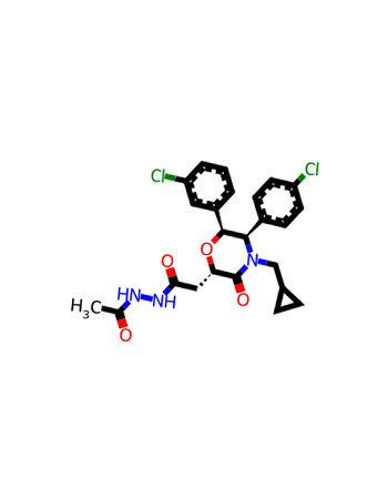 CC(=O)NNC(=O)C[C@@H]1O[C@@H](c2cccc(Cl)c2)[C@@H](c2ccc(Cl)cc2)N(CC2CC2)C1=O